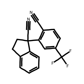 N#Cc1ccc(C(F)(F)F)cc1C1(C#N)CCc2ccccc21